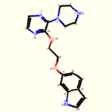 c1cnc(N2CCNCC2)c(OCCOc2ccc3cc[nH]c3c2)n1